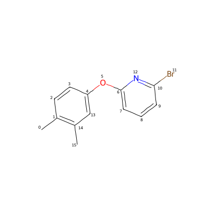 Cc1ccc(Oc2cccc(Br)n2)cc1C